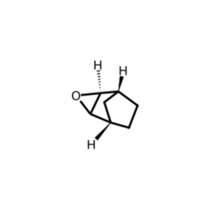 C1C[C@@H]2C[C@H]1C1O[C@H]12